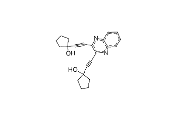 OC1(C#Cc2nc3ccccc3nc2C#CC2(O)CCCC2)CCCC1